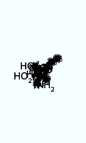 Cc1cc(O)cc(C)c1CC(NC(=O)C(CCCn1ccnc1N)NC(=O)O)C(=O)NC(Cc1c[nH]c2ccccc12)c1nc(Cc2ccc(-c3ccccc3)cc2)no1